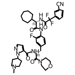 CN1CCC(n2nccc2C(=O)N[C@H](Cc2ccc(NC(=O)[C@@H](NC(=O)C(F)(F)c3cccc(C#N)c3)C3CCCCCC3)c(F)c2)C(=O)N2CCOCC2)CC1